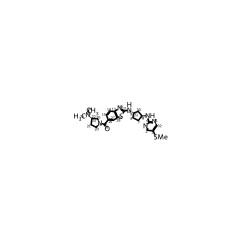 CSc1cnc(N[C@H]2CC[C@H](Nc3nc4ccc(C(=O)N5CC[C@H](N(C)C)C5)cc4s3)C2)nc1